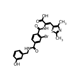 Cc1nc(C)c(/C=C(\NC(=O)c2ccc(C(=O)NCc3cccc(O)c3)cc2Br)C(=O)O)s1